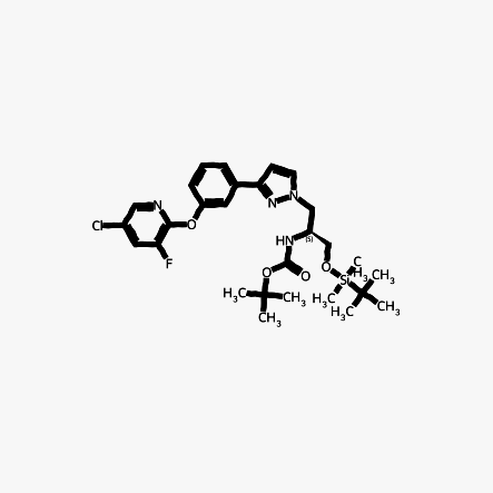 CC(C)(C)OC(=O)N[C@H](CO[Si](C)(C)C(C)(C)C)Cn1ccc(-c2cccc(Oc3ncc(Cl)cc3F)c2)n1